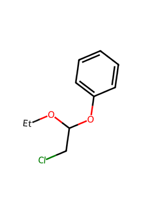 CCOC(CCl)Oc1ccccc1